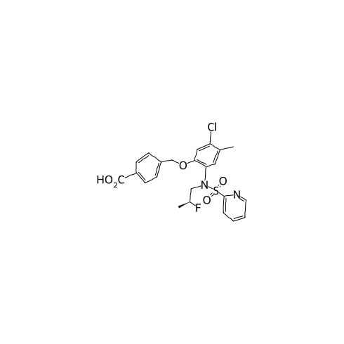 Cc1cc(N(C[C@H](C)F)S(=O)(=O)c2ccccn2)c(OCc2ccc(C(=O)O)cc2)cc1Cl